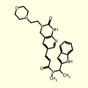 CC(c1cc2ccccc2[nH]1)N(C)C(=O)C=Cc1cnc2c(c1)CN(CCN1CCOCC1)C(=O)N2